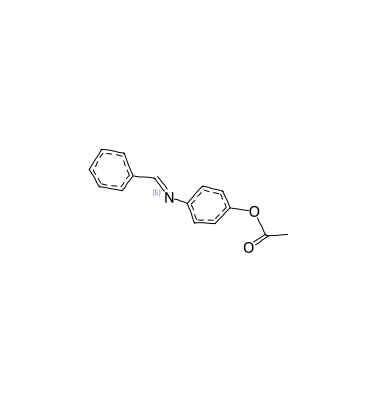 CC(=O)Oc1ccc(/N=C/c2ccccc2)cc1